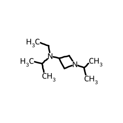 CCN(C(C)C)C1CN(C(C)C)C1